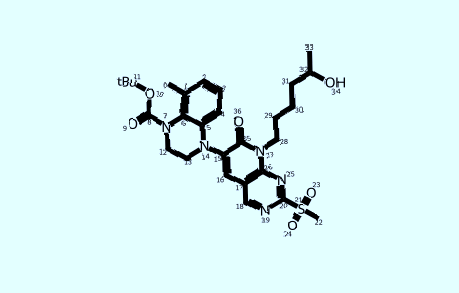 Cc1cccc2c1N(C(=O)OC(C)(C)C)CCN2c1cc2cnc(S(C)(=O)=O)nc2n(CCCCC(C)O)c1=O